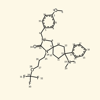 COc1ccc(CN2CC3(CCC(c4ccccc4)(N(C)C)CC3)N(CCCOC(F)(F)F)C2=O)cc1